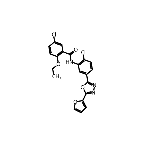 CCOc1ccc(Cl)cc1C(=O)Nc1cc(-c2nnc(-c3ccco3)o2)ccc1Cl